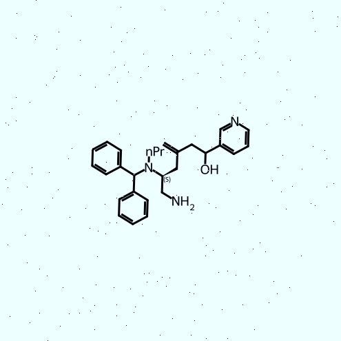 C=C(CC(O)c1cccnc1)C[C@@H](CN)N(CCC)C(c1ccccc1)c1ccccc1